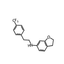 FC(F)(F)c1ccc(CCNc2ccc3c(c2)OCC3)cc1